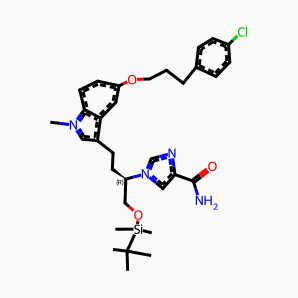 Cn1cc(CC[C@H](CO[Si](C)(C)C(C)(C)C)n2cnc(C(N)=O)c2)c2cc(OCCCc3ccc(Cl)cc3)ccc21